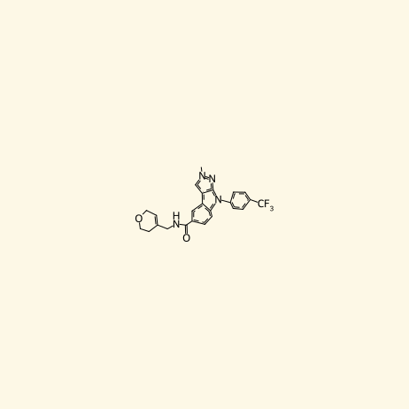 Cn1cc2c3cc(C(=O)NCC4=CCOCC4)ccc3n(-c3ccc(C(F)(F)F)cc3)c2n1